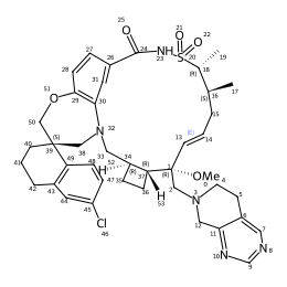 CO[C@@]1(CN2CCc3cncnc3C2)/C=C/C[C@H](C)[C@@H](C)S(=O)(=O)NC(=O)c2ccc3c(c2)N(C[C@@H]2CC[C@H]21)C[C@@]1(CCCc2cc(Cl)ccc21)CO3